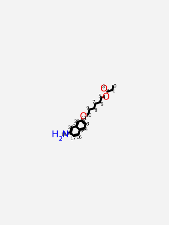 CCC(=O)OCCCCCCOc1ccc2ccc(N)cc2c1